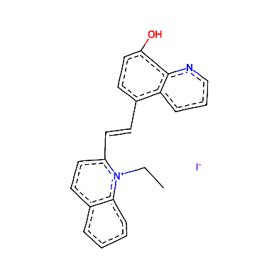 CC[n+]1c(C=Cc2ccc(O)c3ncccc23)ccc2ccccc21.[I-]